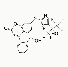 O=c1cc(-c2ccccc2CO)c2ccc(Sc3ncc(C(O)(C(F)(F)F)C(F)(F)F)s3)cc2o1